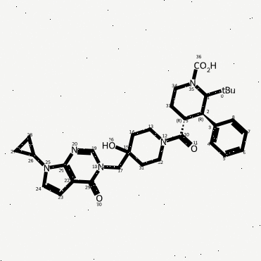 CC(C)(C)C1[C@@H](c2ccccc2)[C@H](C(=O)N2CCC(O)(Cn3cnc4c(ccn4C4CC4)c3=O)CC2)CCN1C(=O)O